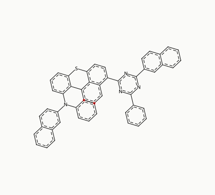 c1ccc(-c2nc(-c3ccc4ccccc4c3)nc(-c3ccc4c5c(cccc35)-c3c(cccc3N(c3ccccc3)c3ccc5ccccc5c3)S4)n2)cc1